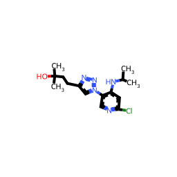 CC(C)Nc1cc(Cl)ncc1-n1cc(CCC(C)(C)O)nn1